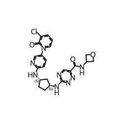 O=C(NC1COC1)c1cnc(N[C@H]2CC[C@H](Nc3ccc(-n4cccc(Cl)c4=O)cn3)C2)nn1